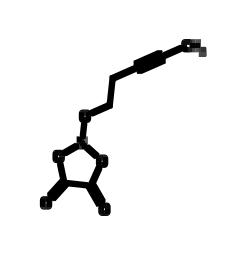 CC#CCCOn1oc(=O)c(=O)o1